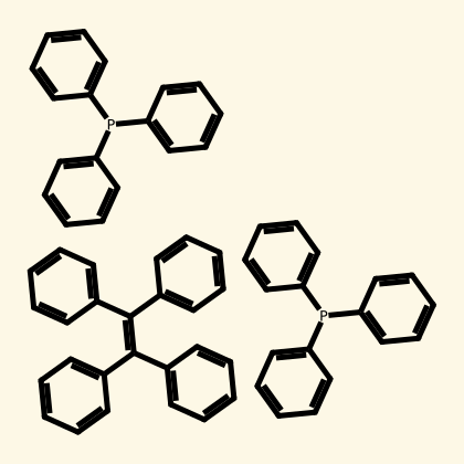 c1ccc(C(=C(c2ccccc2)c2ccccc2)c2ccccc2)cc1.c1ccc(P(c2ccccc2)c2ccccc2)cc1.c1ccc(P(c2ccccc2)c2ccccc2)cc1